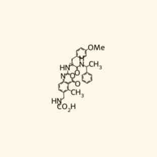 COc1ccc(C[C@H](Nc2nc3ccc(CNC(=O)O)c(C)c3c(=O)o2)C(=O)NC(C)c2ccccc2)cc1